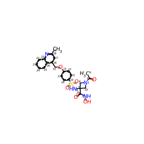 CC(=O)N1CC(NS(=O)(=O)c2ccc(OCc3cc(C)nc4ccccc34)cc2)(C(=O)NO)C1